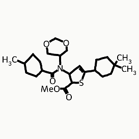 COC(=O)C1SC(C2CCC(C)(C)CC2)=CC1N(C(=O)C1CCC(C)CC1)C1COCOC1